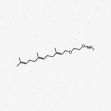 CC(C)=CCC/C(C)=C/CC/C(C)=C/COCCON